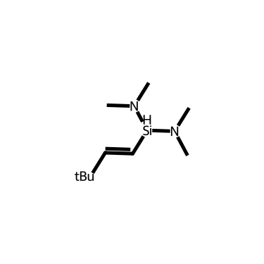 CN(C)[SiH](C=CC(C)(C)C)N(C)C